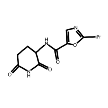 CC(C)c1ncc(C(=O)NC2CCC(=O)NC2=O)o1